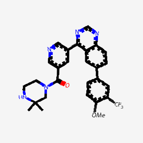 COc1ccc(-c2ccc3ncnc(-c4cncc(C(=O)N5CCNC(C)(C)C5)c4)c3c2)cc1C(F)(F)F